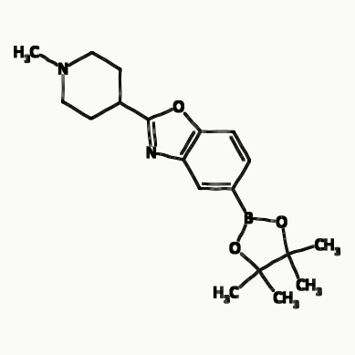 CN1CCC(c2nc3cc(B4OC(C)(C)C(C)(C)O4)ccc3o2)CC1